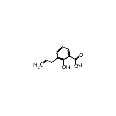 C=CCc1cccc(C(=O)O)c1O